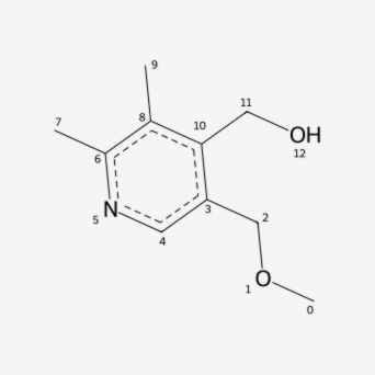 COCc1cnc(C)c(C)c1CO